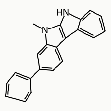 Cn1c2cc(-c3ccccc3)ccc2c2c3ccccc3[nH]c21